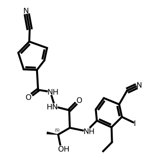 CCc1c(NC(C(=O)NNC(=O)c2ccc(C#N)cc2)[C@H](C)O)ccc(C#N)c1I